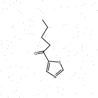 C[CH]CCC(=O)c1cncs1